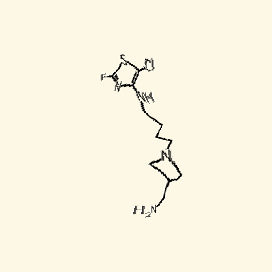 NCC1CN(CCCCNc2nc(F)sc2Cl)C1